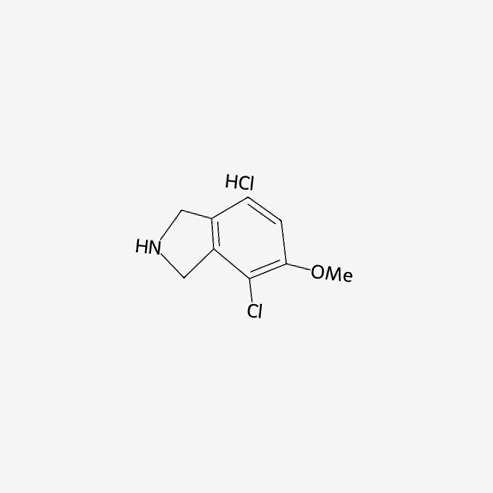 COc1ccc2c(c1Cl)CNC2.Cl